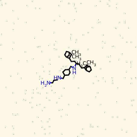 CC1(C)C2CCC(C2)C1CCC(CCC1C2CCC(C2)C1(C)C)NCC1CCC(CNCCCN)CC1